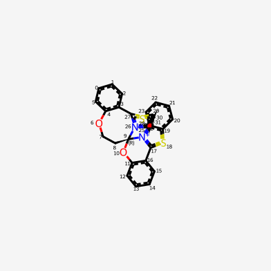 c1ccc2c(c1)OCC[C@@]1(Oc3ccccc3-c3sc4ccccc4[n+]31)[n+]1c-2sc2ccccc21